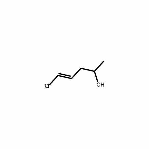 CC(O)CC=CCl